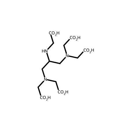 O=C(O)CNC(CN(CC(=O)O)CC(=O)O)CN(CC(=O)O)CC(=O)O